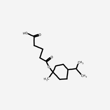 CC(C)C1CCC(C)(OC(=O)CCCC(=O)O)CC1